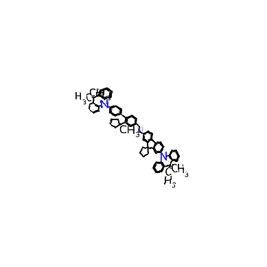 CC1(c2cc(/C=C/c3ccc4c(c3)C3(CCCC3)c3cc(N5c6ccccc6C(C)(C)c6ccccc65)ccc3-4)ccc2-c2ccc(N3C4=C(CCC=C4)C(C)(C)c4ccccc43)cc2)CCCC1